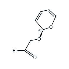 CCC(=O)CO[C@H]1C=CC=CO1